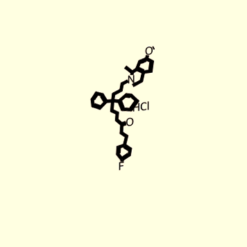 COc1ccc2c(c1)C(C)N(CCCC(CCCC(=O)CCc1ccc(F)cc1)(c1ccccc1)c1ccccc1)CC2.Cl